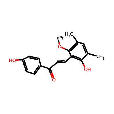 CCCOc1c(C)cc(C)c(O)c1C=CC(=O)c1ccc(O)cc1